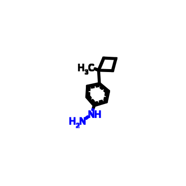 CC1(c2ccc(NN)cc2)CCC1